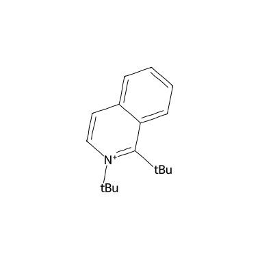 CC(C)(C)c1c2ccccc2cc[n+]1C(C)(C)C